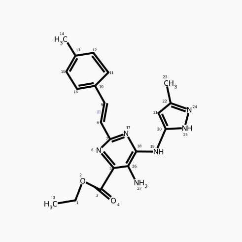 CCOC(=O)c1nc(/C=C/c2ccc(C)cc2)nc(Nc2cc(C)n[nH]2)c1N